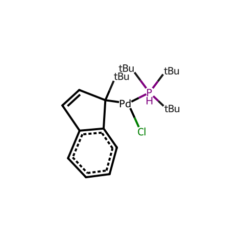 CC(C)(C)[C]1([Pd]([Cl])[PH](C(C)(C)C)(C(C)(C)C)C(C)(C)C)C=Cc2ccccc21